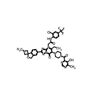 CCc1c(N2CCN(C(=O)c3ncnc(C)c3O)CC2)c(=O)n2nc(-c3ccc4c(c3)COC43CN(C)C3)nc2n1CC(=O)Nc1ccc(C(F)(F)F)cc1Cl